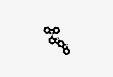 c1ccc2c(c1)oc1cc3oc4c(-n5c6ccccc6c6ccccc65)cccc4c3cc12